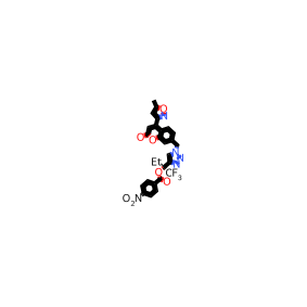 CC[C@](OC(=O)c1ccc([N+](=O)[O-])cc1)(c1cn(Cc2ccc3c(-c4cc(C)on4)cc(=O)oc3c2)nn1)C(F)(F)F